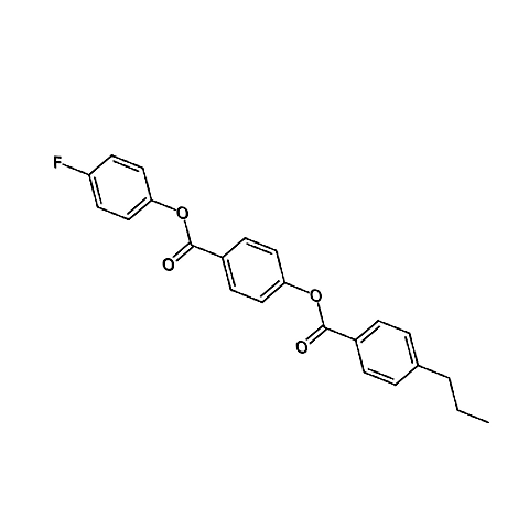 CCCc1ccc(C(=O)Oc2ccc(C(=O)Oc3ccc(F)cc3)cc2)cc1